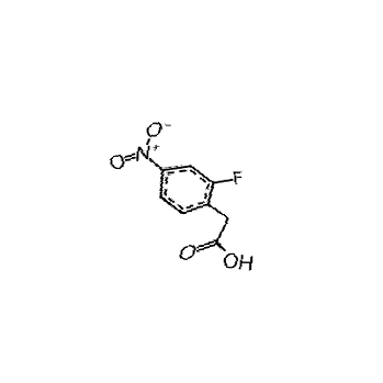 O=C(O)Cc1ccc([N+](=O)[O-])cc1F